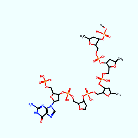 CCOP(=O)(O)OC1CC(C)OC1COP(=O)(O)OC1CC(C)OC1COP(=O)(O)OC1CC(C)OC1COP(=O)(O)OC1CCOC1COP(=O)(O)OC1CC(n2cnc3c(=O)[nH]c(N)nc32)OC1COP(=O)(O)O